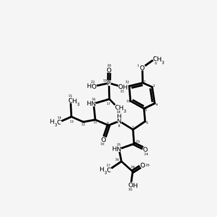 COc1ccc(CC(NC(=O)C(CC(C)C)NC(C)P(=O)(O)O)C(=O)NC(C)C(=O)O)cc1